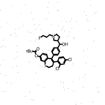 CC(C)(C)C(=O)Oc1ccc2c(c1)SCCC(c1ccc(Cl)cc1Cl)=C2c1ccc(C(O)C2CCN(CCCF)C2)cc1